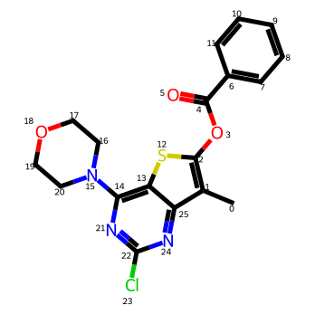 Cc1c(OC(=O)c2ccccc2)sc2c(N3CCOCC3)nc(Cl)nc12